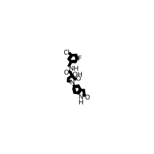 O=C1Cc2cc(N3CC[C@](O)(C(=O)NCc4cc(F)cc(Cl)c4)C3=O)ccc2N1